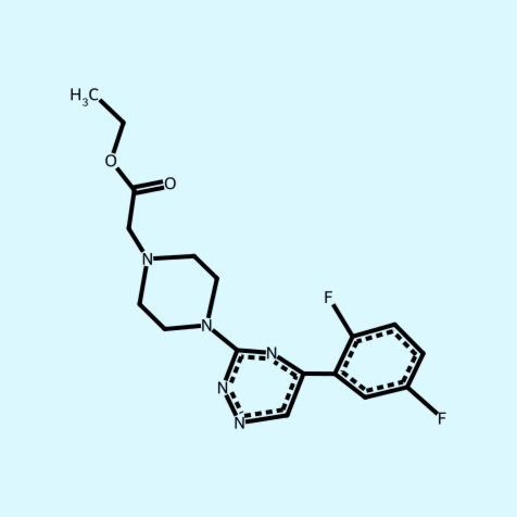 CCOC(=O)CN1CCN(c2nncc(-c3cc(F)ccc3F)n2)CC1